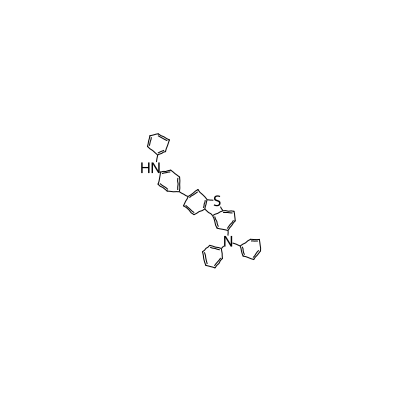 c1ccc(Nc2ccc(-c3ccc4c(c3)sc3ccc(N(c5ccccc5)c5ccccc5)cc34)cc2)cc1